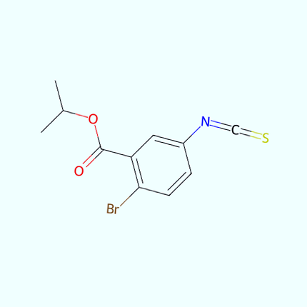 CC(C)OC(=O)c1cc(N=C=S)ccc1Br